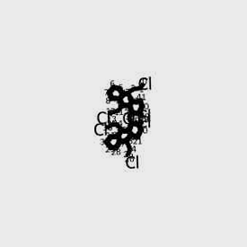 ClCCc1c2ccccc2c(CCCl)c2c(Oc3c(Cl)ccc4c(CCCl)c5ccccc5c(CCCl)c34)c(Cl)ccc12